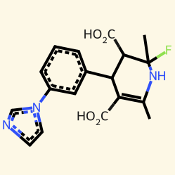 CC1=C(C(=O)O)C(c2cccc(-n3ccnc3)c2)C(C(=O)O)C(C)(F)N1